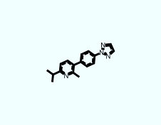 Cc1nc(C(C)C)ccc1-c1ccc(-n2nccn2)cc1